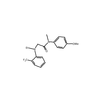 CCN(CC(=O)N(C)c1ccc(OC)cc1)c1ccccc1C(F)(F)F